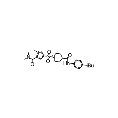 CCC(C)c1ccc(NC(=O)C2CCN(S(=O)(=O)c3cc(C(=O)N(C)C)n(C)c3)CC2)cc1